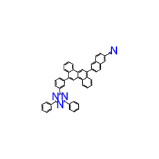 N#Cc1ccc2cc(-c3cc4c5ccccc5c(-c5cccc(-c6nc(-c7ccccc7)nc(-c7ccccc7)n6)c5)cc4c4ccccc34)ccc2c1